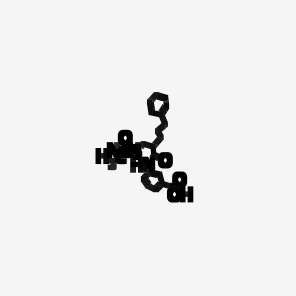 CC(=O)SCC(CCCc1ccccc1)C(=O)Nc1cccc(C(=O)O)c1.[NaH]